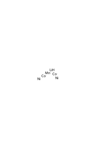 [Co].[Co].[LiH].[Mn].[Ni].[Ni]